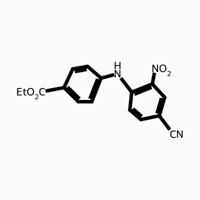 CCOC(=O)c1ccc(Nc2ccc(C#N)cc2[N+](=O)[O-])cc1